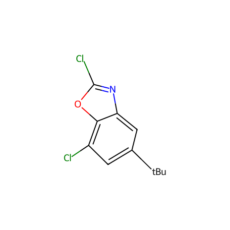 CC(C)(C)c1cc(Cl)c2oc(Cl)nc2c1